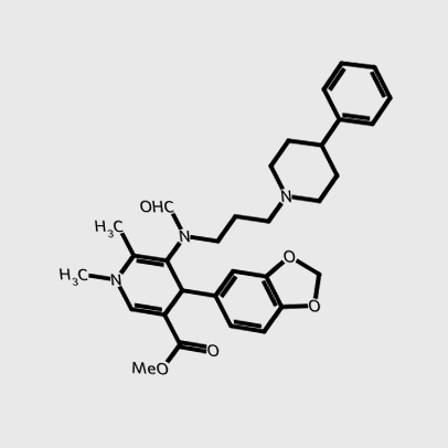 COC(=O)C1=CN(C)C(C)=C(N(C=O)CCCN2CCC(c3ccccc3)CC2)C1c1ccc2c(c1)OCO2